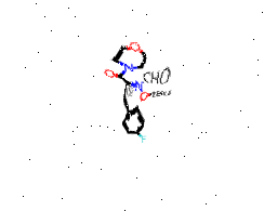 CC(C)(C)ON(C=O)[C@@H](Cc1ccc(F)cc1)C(=O)N1CCOCC1